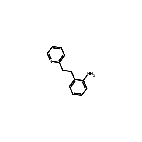 Nc1ccccc1CCc1ccccn1